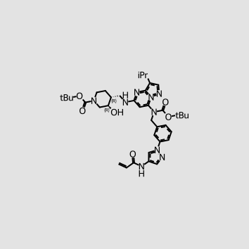 C=CC(=O)Nc1cnn(-c2cccc(CN(C(=O)OC(C)(C)C)c3cc(NC[C@H]4CCN(C(=O)OC(C)(C)C)C[C@@H]4O)nc4c(C(C)C)cnn34)c2)c1